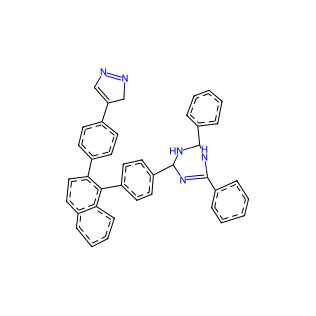 C1=C(c2ccc(-c3ccc4ccccc4c3-c3ccc(C4N=C(c5ccccc5)NC(c5ccccc5)N4)cc3)cc2)CN=N1